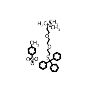 C[N+](C)(C)CCOCCOCCSC(c1ccccc1)(c1ccccc1)c1ccccc1.Cc1ccc(S(=O)(=O)[O-])cc1